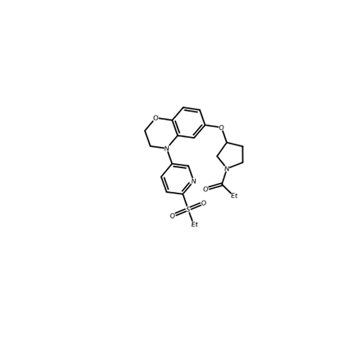 CCC(=O)N1CCC(Oc2ccc3c(c2)N(c2ccc(S(=O)(=O)CC)nc2)CCO3)C1